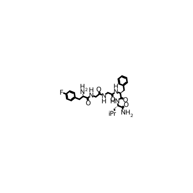 CC(C)C[C@H](NC(=O)[C@H](Cc1ccccc1)NC(=O)CNC(=O)CNC(=O)[C@@H](N)Cc1ccc(F)cc1)C(N)=O